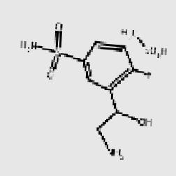 CS(=O)(=O)O.NCC(O)c1cc(S(N)(=O)=O)ccc1F